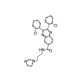 O=C(NCCCn1ccnc1)c1ccc2nc(-c3ccccc3Cl)c(-c3ccccc3Cl)nc2c1